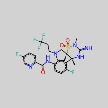 CN1C(=N)N[C@](C)(c2cc(NC(=O)c3ccc(F)cn3)ccc2F)[C@@]2(CCN(CCC(F)(F)F)C2)S1(=O)=O